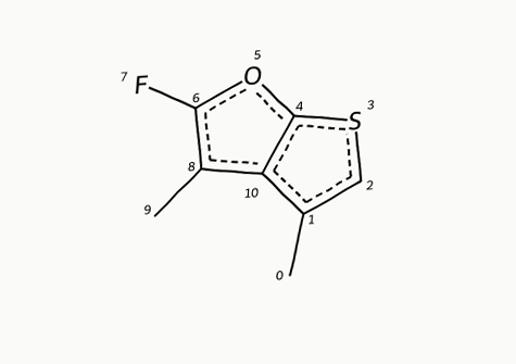 Cc1csc2oc(F)c(C)c12